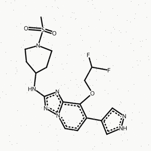 CS(=O)(=O)N1CCC(Nc2nc3c(OCC(F)F)c(-c4cn[nH]c4)ccn3n2)CC1